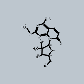 CSc1nc(N)c2ccc(=O)n(C3OC(CO)C(O)C3(C)O)c2n1